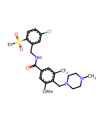 CCS(=O)(=O)c1ccc(Cl)cc1CNC(=O)c1cc(OC)c(CN2CCN(C)CC2)c(C(F)(F)F)c1